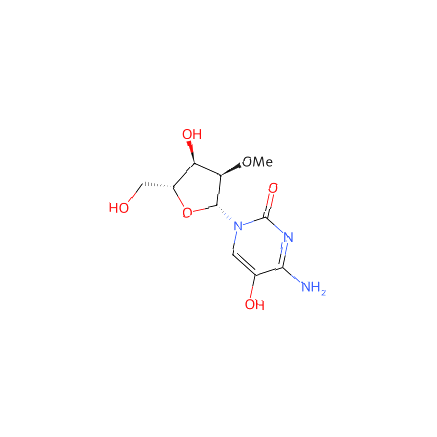 CO[C@@H]1[C@H](O)[C@@H](CO)O[C@H]1n1cc(O)c(N)nc1=O